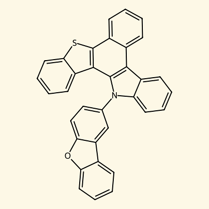 c1ccc2c(c1)oc1ccc(-n3c4ccccc4c4c5ccccc5c5sc6ccccc6c5c43)cc12